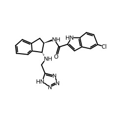 O=C(N[C@@H]1Cc2ccccc2[C@H]1NCc1nnn[nH]1)c1cc2cc(Cl)ccc2[nH]1